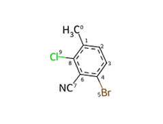 Cc1ccc(Br)c(C#N)c1Cl